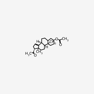 CC(=O)O[C@H]1CC[C@@]2(C)C(CC[C@H]3C4=CC[C@H](C(C)=O)[C@@]4(C)CC[C@@H]32)C1